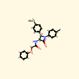 COc1ccc([C@@H]2[C@H](NC(=O)COc3ccccc3)C(=O)N2c2ccc(C)cc2)cc1